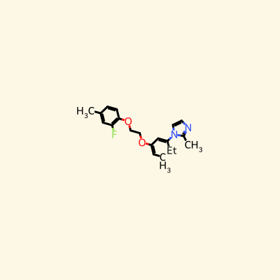 C/C=C(\C=C(/CC)n1ccnc1C)OCCOc1ccc(C)cc1F